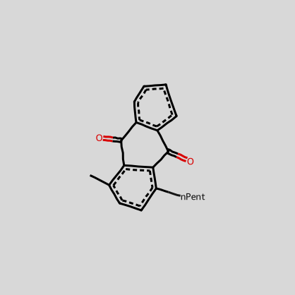 CCCCCc1ccc(C)c2c1C(=O)c1ccccc1C2=O